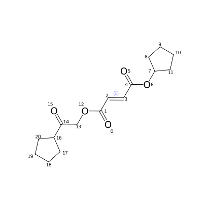 O=C(/C=C/C(=O)OC1CCCC1)OCC(=O)C1CCCC1